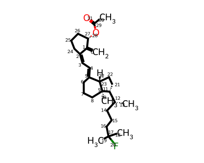 C=C1/C(=C\C=C2/CCC[C@]3(C)[C@@H]([C@H](C)CCCC(C)(C)F)CC[C@@H]23)CCC[C@@H]1OC(C)=O